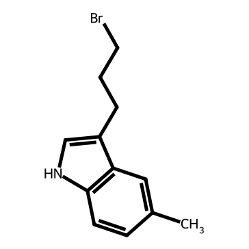 Cc1ccc2[nH]cc(CCCBr)c2c1